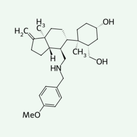 C=C1CC[C@H]2[C@H](CNCc3ccc(OC)cc3)[C@@H]([C@@]3(C)CC[C@H](O)C[C@@H]3CO)CC[C@]12C